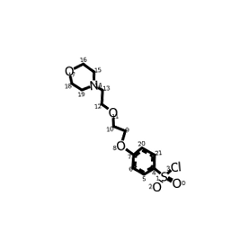 O=S(=O)(Cl)c1ccc(OCCOCCN2CCOCC2)cc1